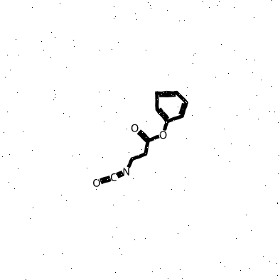 O=C=NCCC(=O)Oc1ccccc1